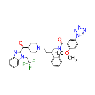 COc1ccc(-n2cnnn2)cc1C(=O)N(C)CC(CCN1CCC(C(=O)c2nc3ccccc3n2CC(F)(F)F)CC1)c1ccccc1